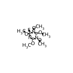 CON1P(OC)N=P(F)(OC)N(OC)P1OC